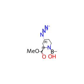 COC(=O)[C@H]1C[C@H](N=[N+]=[N-])CCN1B(C)O